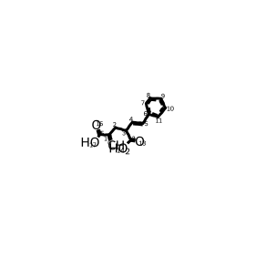 C=C(CC(C=Cc1ccccc1)C(=O)O)C(=O)O